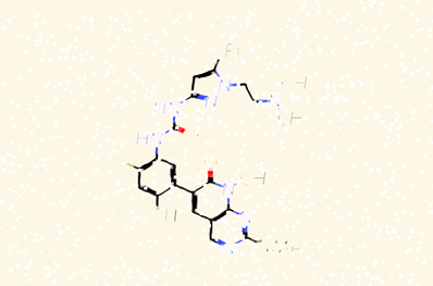 CNc1ncc2cc(-c3cc(NC(=O)Nc4cc(C(C)C)n(CCN(C)C)n4)c(F)cc3C)c(=O)n(C)c2n1